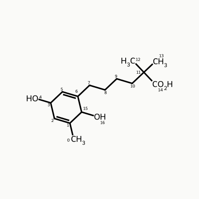 CC1=CC(O)C=C(CCCCC(C)(C)C(=O)O)C1O